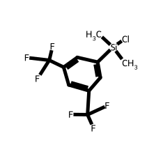 C[Si](C)(Cl)c1cc(C(F)(F)F)cc(C(F)(F)F)c1